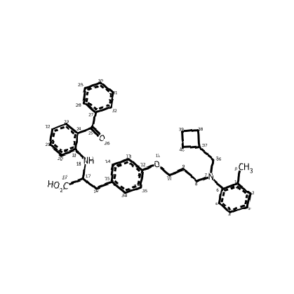 Cc1ccccc1N(CCCOc1ccc(CC(Nc2ccccc2C(=O)c2ccccc2)C(=O)O)cc1)CC1CCC1